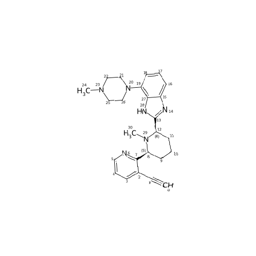 C#Cc1cccnc1[C@@H]1CCC[C@H](c2nc3cccc(N4CCN(C)CC4)c3[nH]2)N1C